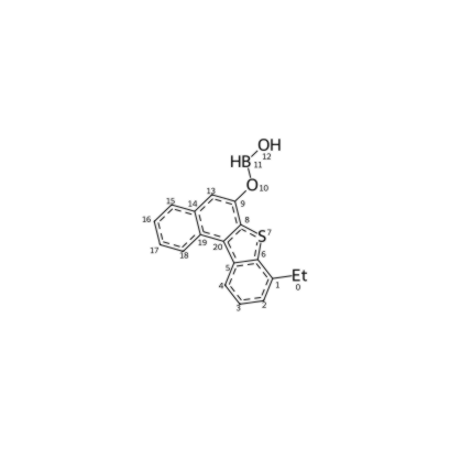 CCc1cccc2c1sc1c(OBO)cc3ccccc3c12